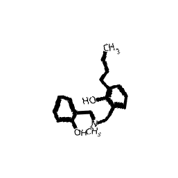 CCCCc1cccc(CN(C)Cc2ccccc2O)c1O